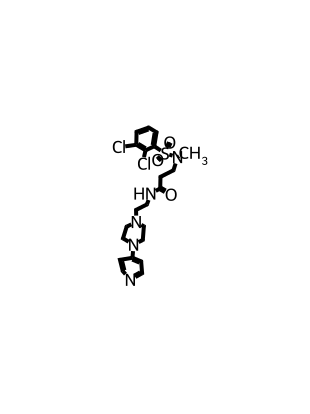 CN(CCC(=O)NCCN1CCN(c2ccncc2)CC1)S(=O)(=O)c1cccc(Cl)c1Cl